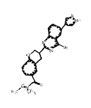 CON(C)C(=O)c1ccc2c(c1)CC(c1nc(O)c3cc(-c4cn[nH]c4)ccc3n1)CO2